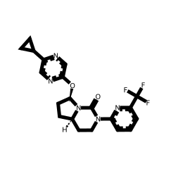 O=C1N(c2cccc(C(F)(F)F)n2)CC[C@H]2CC[C@@H](Oc3cnc(C4CC4)cn3)N12